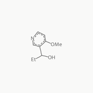 CCC(O)c1cnccc1OC